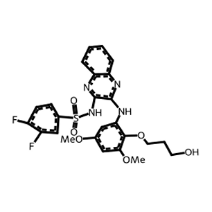 COc1cc(Nc2nc3ccccc3nc2NS(=O)(=O)c2ccc(F)c(F)c2)c(OCCCO)c(OC)c1